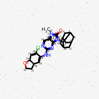 CCOC(=O)C12CC3CC(C1)C(n1c(=O)n(C)c4cnc(NC5=CC6CCOC6C=C5Cl)nc41)C(C3)C2